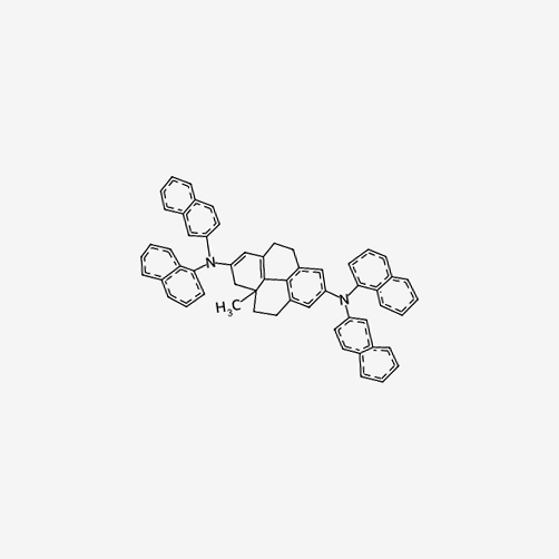 CC12CCc3cc(N(c4ccc5ccccc5c4)c4cccc5ccccc45)cc4c3C1=C(C=C(N(c1ccc3ccccc3c1)c1cccc3ccccc13)C2)CC4